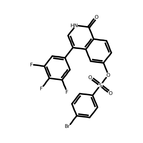 O=c1[nH]cc(-c2cc(F)c(F)c(F)c2)c2cc(OS(=O)(=O)c3ccc(Br)cc3)ccc12